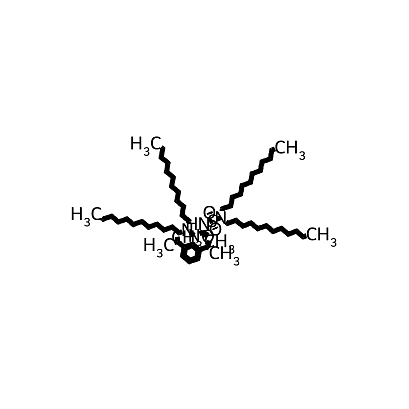 CCCCCCCCCCCCN(CCCCCCCCCCCC)N(C(=O)NS(=O)(=O)N(CCCCCCCCCCCC)CCCCCCCCCCCC)c1c(C(C)C)cccc1C(C)C